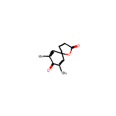 CC(C)(C)C1=CC2(C=C(C(C)(C)C)C1=O)CCC(=O)O2